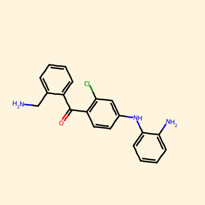 NCc1ccccc1C(=O)c1ccc(Nc2ccccc2N)cc1Cl